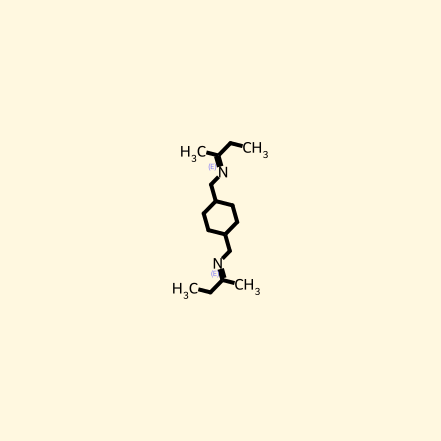 CC/C(C)=N/CC1CCC(C/N=C(\C)CC)CC1